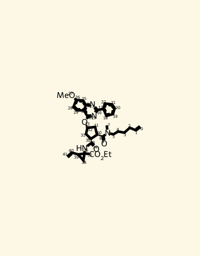 C=CCCCCN(C)C(=O)[C@@H]1C[C@H](Oc2nc(-c3ccccc3)nc3cc(OC)ccc23)C[C@H]1C(=O)NC1(C(=O)OCC)CC1C=C